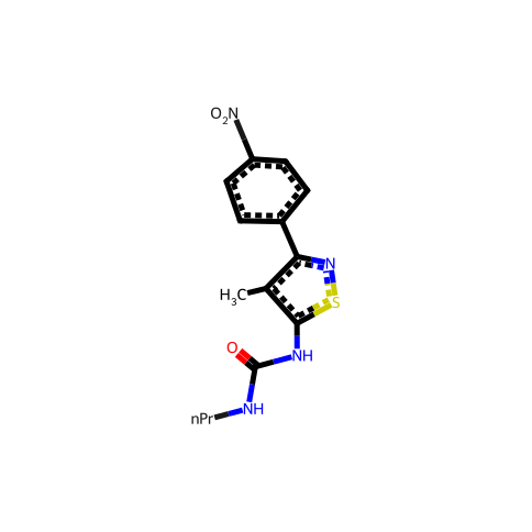 CCCNC(=O)Nc1snc(-c2ccc([N+](=O)[O-])cc2)c1C